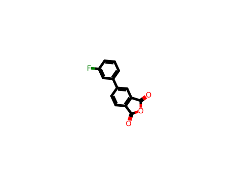 O=C1OC(=O)c2cc(-c3cccc(F)c3)ccc21